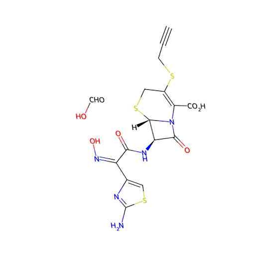 C#CCSC1=C(C(=O)O)N2C(=O)[C@@H](NC(=O)/C(=N\O)c3csc(N)n3)[C@@H]2SC1.O=CO